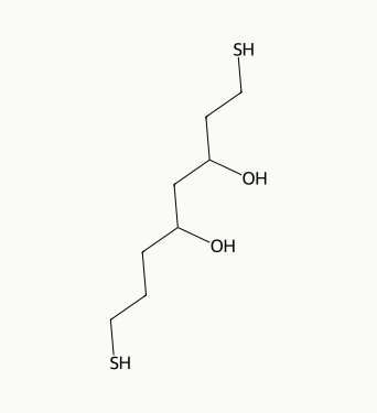 OC(CCS)CC(O)CCCS